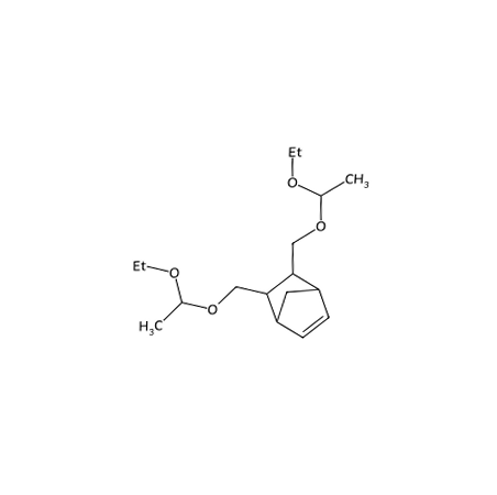 CCOC(C)OCC1C2C=CC(C2)C1COC(C)OCC